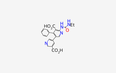 CCNC(=O)Nc1ncc(-c2cncc(C(=O)O)c2)c(-c2ccccc2)c1C(=O)O